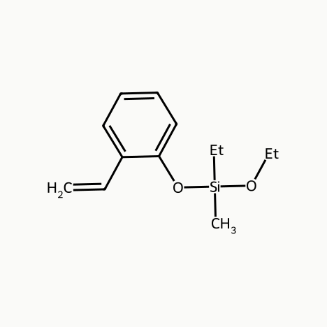 C=Cc1ccccc1O[Si](C)(CC)OCC